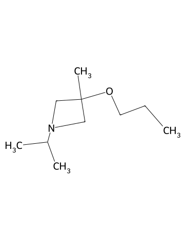 CCCOC1(C)CN(C(C)C)C1